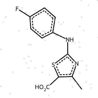 Cc1nc(Nc2ccc(F)cc2)sc1C(=O)O